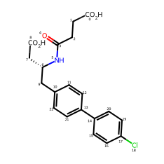 O=C(O)CCC(=O)N[C@@H](CC(=O)O)Cc1ccc(-c2ccc(Cl)cc2)cc1